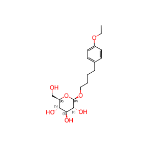 CCOc1ccc(CCCCO[C@@H]2O[C@H](CO)[C@@H](O)[C@H](O)[C@H]2O)cc1